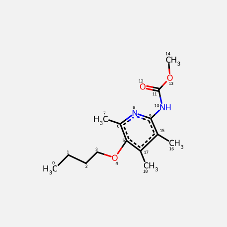 CCCCOc1c(C)nc(NC(=O)OC)c(C)c1C